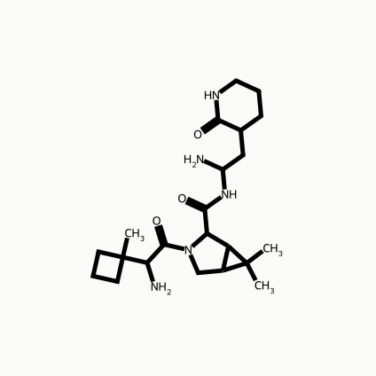 CC1(C(N)C(=O)N2CC3C(C2C(=O)NC(N)CC2CCCNC2=O)C3(C)C)CCC1